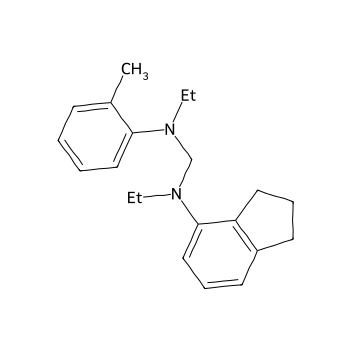 CCN(CN(CC)c1cccc2c1CCC2)c1ccccc1C